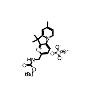 CC1=CCN2C3=CC=C(CNC(=O)OC(C)(C)C)[C+]=C3C(C)(C)C2=C1.[O-][Cl+3]([O-])([O-])[O-]